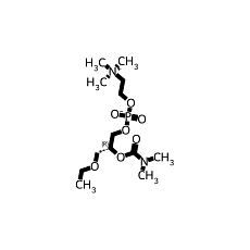 CCOC[C@H](COP(=O)([O-])OCC[N+](C)(C)C)OC(=O)N(C)C